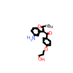 CCCCc1oc2ccc(N)cc2c1C(=O)c1ccc(OCCCO)cc1